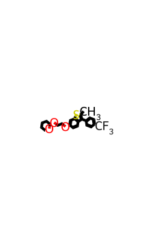 Cc1sc2cc(OCCOC3CCCCO3)ccc2c1-c1ccc(C(F)(F)F)cc1